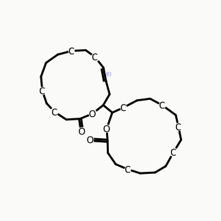 O=C1CCCCCCCCCC/C=C/CC(C2CCCCCCCCCCCCCCC(=O)O2)O1